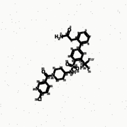 NC(=O)Cc1ccccc1-c1ccc(S(=O)(=O)NC2CCN(C(=O)c3ccc(Cl)nc3)CC2)c(C(F)(F)F)c1